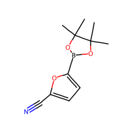 CC1(C)OB(c2ccc(C#N)o2)OC1(C)C